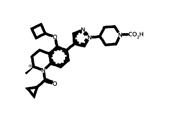 C[C@H]1CCc2c(ccc(-c3cnn(C4CCN(C(=O)O)CC4)c3)c2OC2CCC2)N1C(=O)C1CC1